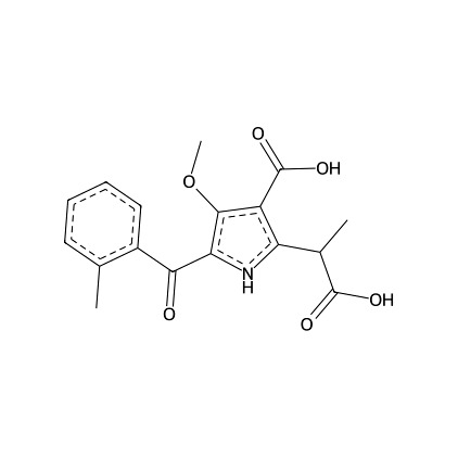 COc1c(C(=O)c2ccccc2C)[nH]c(C(C)C(=O)O)c1C(=O)O